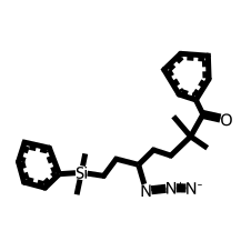 CC(C)(CCC(CC[Si](C)(C)c1ccccc1)N=[N+]=[N-])C(=O)c1ccccc1